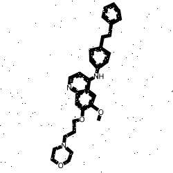 COc1cc2c(Nc3ccc(CCc4ccccc4)cc3)ccnc2cc1OCCCN1CCOCC1